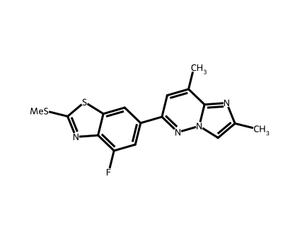 CSc1nc2c(F)cc(-c3cc(C)c4nc(C)cn4n3)cc2s1